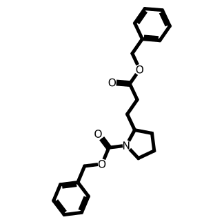 O=C(CCC1CCCN1C(=O)OCc1ccccc1)OCc1ccccc1